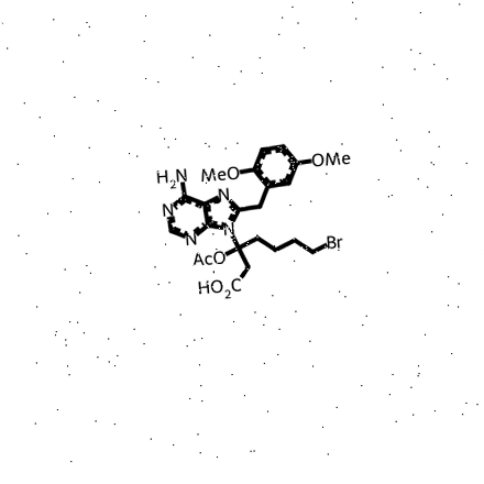 COc1ccc(OC)c(Cc2nc3c(N)ncnc3n2C(CCCCBr)(CC(=O)O)OC(C)=O)c1